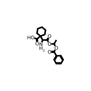 CC(OC(=O)c1ccccc1)OC(=O)C(N)C1(C(=O)O)CCCCC1